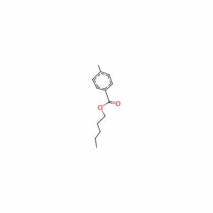 CCCCCOC(=O)c1ccc(C)cc1